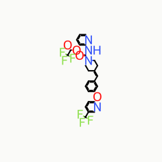 O=C(Nc1ncccc1OC(=O)C(F)(F)F)N1CCC(=Cc2cccc(Oc3ccc(C(F)(F)F)cn3)c2)CC1